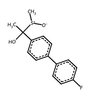 C[S+]([O-])C(C)(O)c1ccc(-c2ccc(F)cc2)cc1